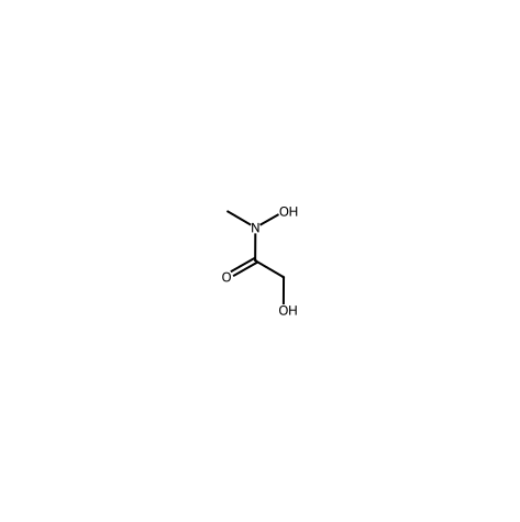 CN(O)C(=O)CO